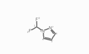 FC(F)n1c[c]cn1